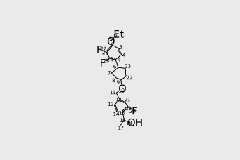 CCOc1ccc(C2CCC(OCc3ccc(C(C)O)c(F)c3)CC2)c(F)c1F